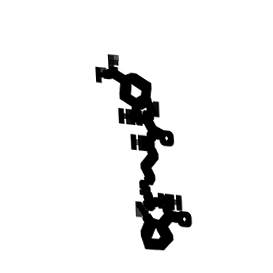 O=C(NCCCSc1nc2ccccc2c(=O)[nH]1)c1nc2ccc(C(F)F)cc2[nH]1